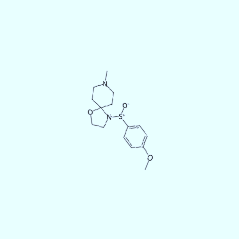 COc1ccc([S+]([O-])N2CCOC23CCN(C)CC3)cc1